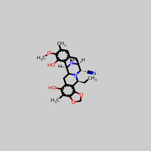 CC[C@H]1c2c(c(O)c(C)c3c2OCO3)CC2[C@H]3c4c(cc(C)c(OC)c4O)C[C@@H]([C@H](C#N)N21)N3C